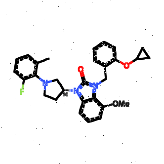 COc1cccc2c1n(Cc1ccccc1OC1CC1)c(=O)n2[C@@H]1CCN(c2c(C)cccc2F)C1